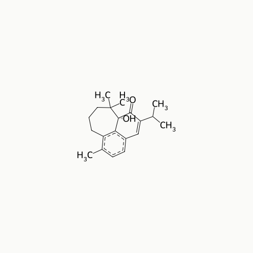 Cc1ccc2c3c1CCCC(C)(C)[C@@]3(O)C(=O)C(C(C)C)=C2